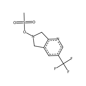 CS(=O)(=O)ON1Cc2cc(C(F)(F)F)cnc2C1